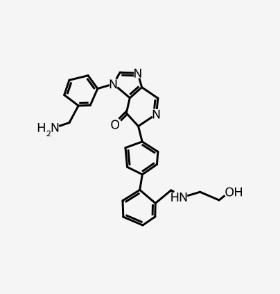 NCc1cccc(-n2cnc3c2C(=O)C(c2ccc(-c4ccccc4CNCCO)cc2)N=C3)c1